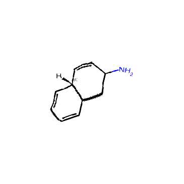 NC1C=C[C@H]2C=CC=CC2C1